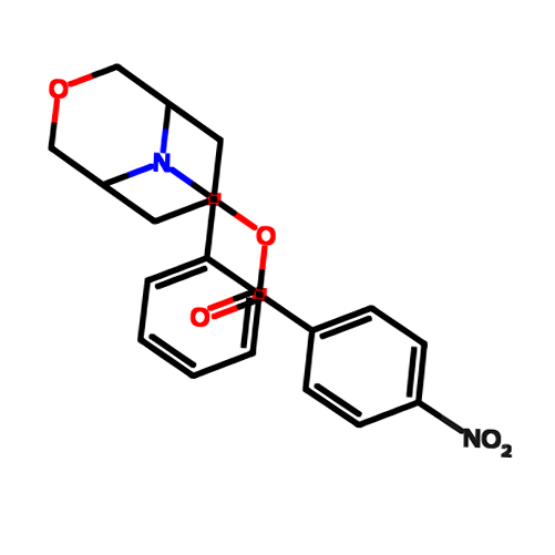 O=C(OC1CC2COCC(C1)N2Cc1ccccc1)c1ccc([N+](=O)[O-])cc1